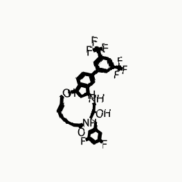 O=C1CCC/C=C/CO[C@@H]2C[C@H](NC[C@@H](O)[C@H](Cc3cc(F)cc(F)c3)N1)c1cc(-c3cc(C(F)(F)F)cc(C(F)(F)F)c3)ccc12